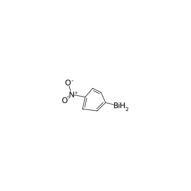 O=[N+]([O-])c1cc[c]([BiH2])cc1